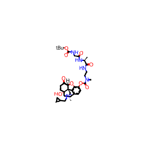 C[C@H](NC(=O)CNC(=O)OC(C)(C)C)C(=O)NCCN(C)C(=O)Oc1ccc2c3c1O[C@H]1C(=O)CC[C@@]4(O)C(C2)[N@+](C)(CC2CC2)CC[C@]314